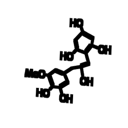 COc1cc(C/C(O)=C\c2c(O)cc(O)cc2O)cc(O)c1O